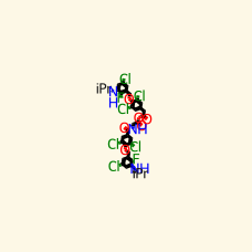 CC(C)Nc1cc(Cl)cc(COc2c(Cl)cc(CC(=O)OC(=O)CNC(=O)c3cc(Cl)c(OCc4cc(Cl)cc(NC(C)C)c4F)c(Cl)c3)cc2Cl)c1F